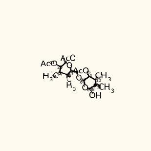 CC(=O)OC1OC(CO[C@@H]2O[C@@H](O)[C@H](C)C(C)C2OC(C)=O)[C@@H](C)[C@H](C)C1OC(C)=O